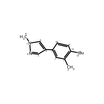 Cc1cc(-c2cnn(C)c2)ccc1C(C)(C)C